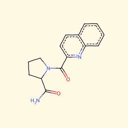 NC(=O)C1CCCN1C(=O)c1ccc2ccccc2n1